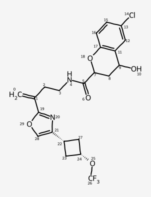 C=C(CCNC(=O)C1CC(O)c2cc(Cl)ccc2O1)c1nc([C@H]2C[C@@H](OC(F)(F)F)C2)co1